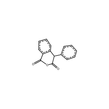 O=C1OC(=O)C(c2ccccc2)c2ccccc21